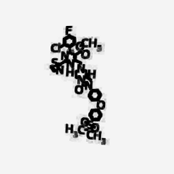 COC(=O)C1=C(CN2CCN3C(=O)N(c4ccc(Oc5ccc(S(=O)(=O)C(C)C)cc5)cc4)C[C@@H]3C2)NC(c2nccs2)=N[C@H]1c1ccc(F)cc1Cl